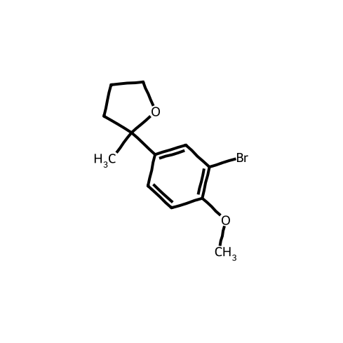 COc1ccc(C2(C)CCCO2)cc1Br